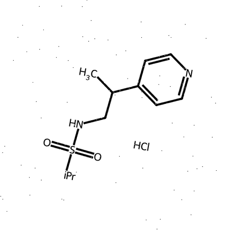 CC(CNS(=O)(=O)C(C)C)c1ccncc1.Cl